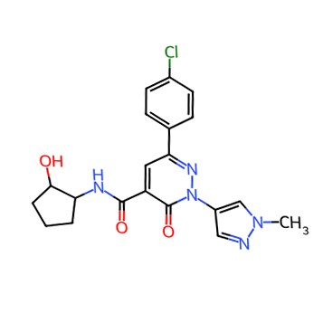 Cn1cc(-n2nc(-c3ccc(Cl)cc3)cc(C(=O)NC3CCCC3O)c2=O)cn1